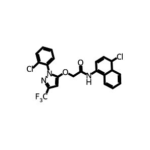 O=C(COc1cc(C(F)(F)F)nn1-c1ccccc1Cl)NC1=C2C=CC=CC2C(Cl)C=C1